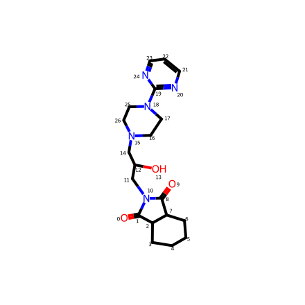 O=C1C2CCCCC2C(=O)N1CC(O)CN1CCN(c2ncccn2)CC1